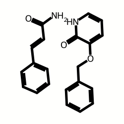 NC(=O)C=Cc1ccccc1.O=c1[nH]cccc1OCc1ccccc1